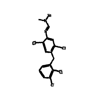 CCN(C)C=Nc1cc(Cl)c(Cc2cccc(Cl)c2Cl)cc1Cl